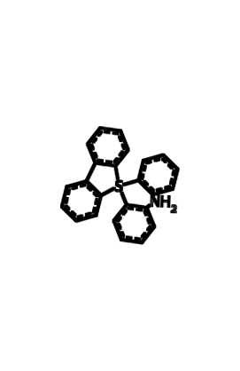 Nc1ccccc1S1(c2ccccc2)c2ccccc2-c2ccccc21